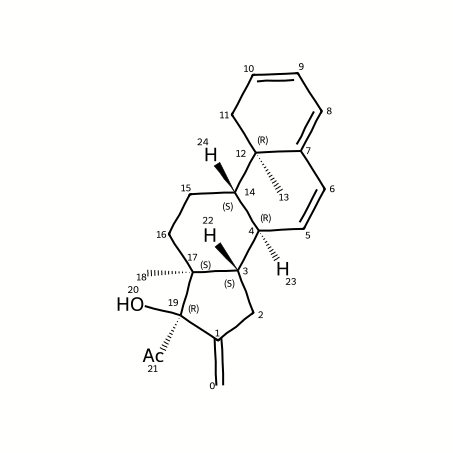 C=C1C[C@H]2[C@@H]3C=CC4=CC=CC[C@]4(C)[C@H]3CC[C@]2(C)[C@@]1(O)C(C)=O